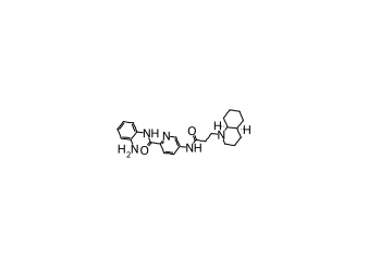 Nc1ccccc1NC(=O)c1ccc(NC(=O)CCN2CCC[C@@H]3CCCC[C@@H]32)cn1